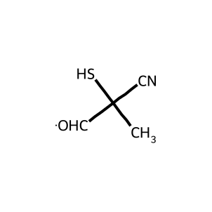 CC(S)([C]=O)C#N